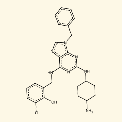 NC1CCC(Nc2nc(NCc3cccc(Cl)c3O)c3ncn(Cc4ccccc4)c3n2)CC1